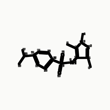 Cc1nn(C)c(C)c1NS(=O)(=O)c1ccc(C(C)C)cc1